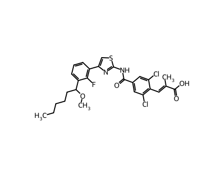 CCCCCC(OC)c1cccc(-c2csc(NC(=O)c3cc(Cl)c(C=C(C)C(=O)O)c(Cl)c3)n2)c1F